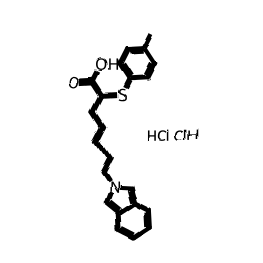 Cc1ccc(SC(CCCCCn2cc3ccccc3c2)C(=O)O)cc1.Cl.Cl